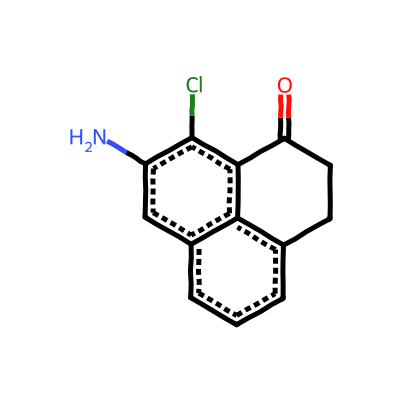 Nc1cc2cccc3c2c(c1Cl)C(=O)CC3